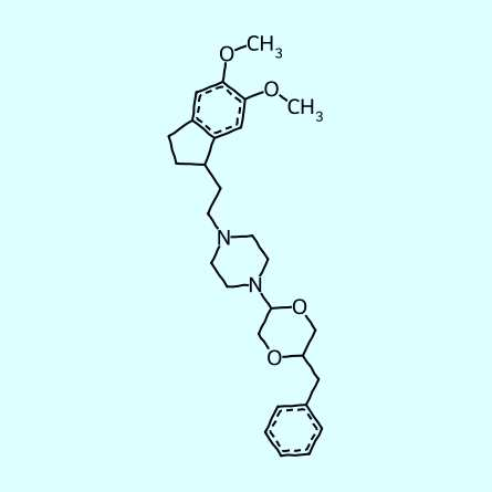 COc1cc2c(cc1OC)C(CCN1CCN(C3COC(Cc4ccccc4)CO3)CC1)CC2